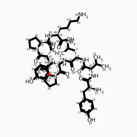 CC(C)C[C@H](NC(=O)[C@@H](NC(=O)[C@@H](N)Cc1ccc(O)cc1)C(C)C)C(=O)N[C@@H](Cc1ccc(O)cc1)C(=O)N1CCC[C@H]1C(=O)N[C@@H](CO)C(=O)N1CCC[C@H]1C(=O)N[C@@H](CCCCN)C(=O)O